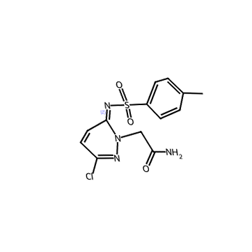 Cc1ccc(S(=O)(=O)/N=c2/ccc(Cl)nn2CC(N)=O)cc1